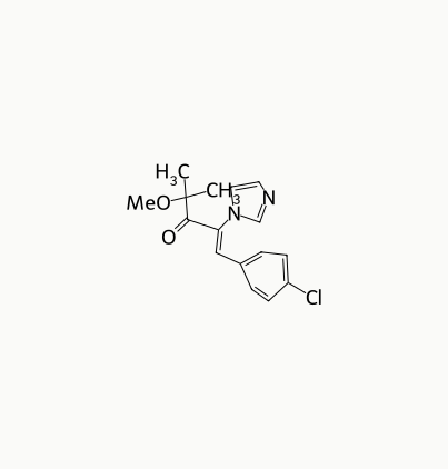 COC(C)(C)C(=O)C(=Cc1ccc(Cl)cc1)n1ccnc1